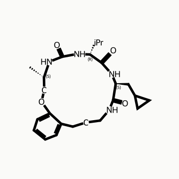 CC(C)[C@H]1NC(=O)N[C@@H](C)COc2ccccc2CCCNC(=O)[C@H](CC2CC2)NC1=O